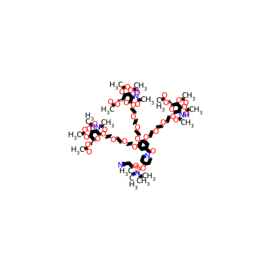 CC(=O)N[C@H]1[C@H](OCCOCCOCCOc2cc(C(=O)N3CCC(OP(OCCC#N)N(C(C)C)C(C)C)CC3)cc(OCCOCCOCCO[C@@H]3O[C@H](COC(C)=O)[C@H](OC(C)=O)[C@H](OC(C)=O)[C@H]3NC(C)=O)c2OCCOCCOCCO[C@@H]2O[C@H](COC(C)=O)[C@H](OC(C)=O)[C@H](OC(C)=O)[C@H]2NC(C)=O)O[C@H](COC(C)=O)[C@H](OC(C)=O)[C@@H]1OC(C)=O